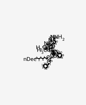 CCCCCCCCCCCCCCCCO[C@H](COCc1ccccc1)COP(=O)(OC[C@H]1O[C@@](C#N)(c2ccc3c(N)ncnn23)[C@@H]2OC(C)(C)O[C@@H]21)Oc1ccccc1Cl